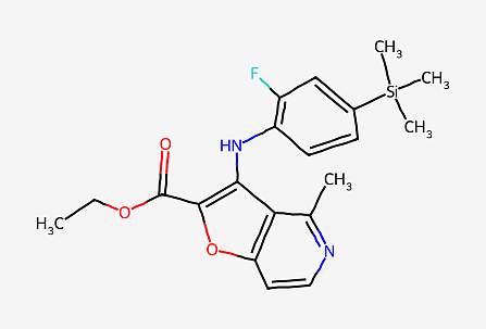 CCOC(=O)c1oc2ccnc(C)c2c1Nc1ccc([Si](C)(C)C)cc1F